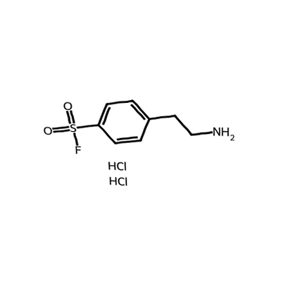 Cl.Cl.NCCc1ccc(S(=O)(=O)F)cc1